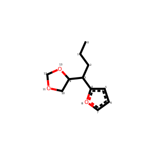 CCCC(c1ccco1)C1COCO1